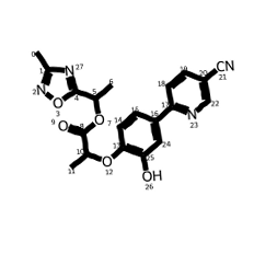 Cc1noc(C(C)OC(=O)C(C)Oc2ccc(-c3ccc(C#N)cn3)cc2O)n1